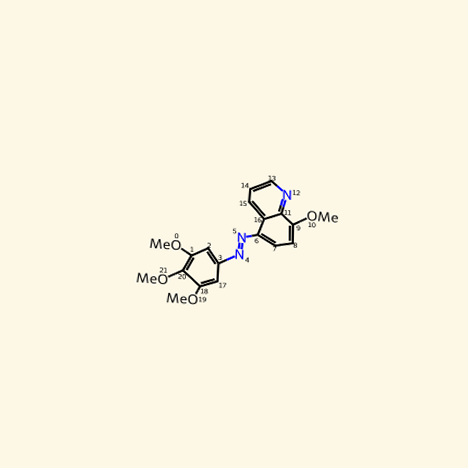 COc1cc(/N=N/c2ccc(OC)c3ncccc23)cc(OC)c1OC